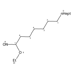 CCCCCCCCCCCCCC(N=O)OCC